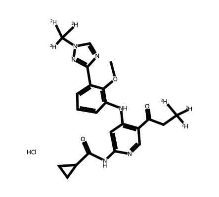 Cl.[2H]C([2H])([2H])CC(=O)c1cnc(NC(=O)C2CC2)cc1Nc1cccc(-c2ncn(C([2H])([2H])[2H])n2)c1OC